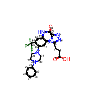 O=C(O)CCc1nnc2c(=O)[nH]c3cc(C(F)(F)F)c(N4CCN(c5ccccc5)CC4)cc3n12